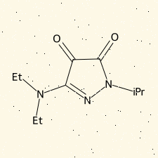 CCN(CC)C1=NN(C(C)C)C(=O)C1=O